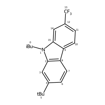 CCC(C)n1c2cc(C(C)(C)C)ccc2c2ccc(C(F)(F)F)cc21